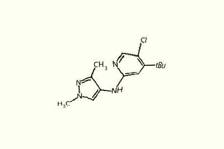 Cc1nn(C)cc1Nc1cc(C(C)(C)C)c(Cl)cn1